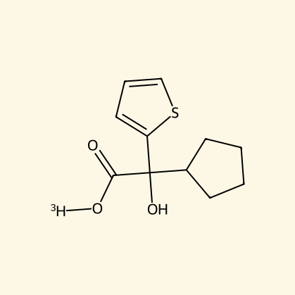 [3H]OC(=O)C(O)(c1cccs1)C1CCCC1